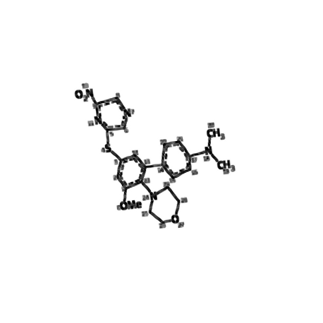 COc1cc(Sc2cncc([N+](=O)[O-])n2)cc(-c2ccc(N(C)C)cc2)c1N1CCOCC1